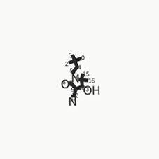 CC(C)(C)CCN1C(=O)C(C#N)C(O)C1(C)C